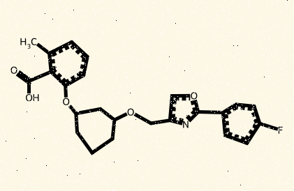 Cc1cccc(OC2CCCC(OCc3coc(-c4ccc(F)cc4)n3)C2)c1C(=O)O